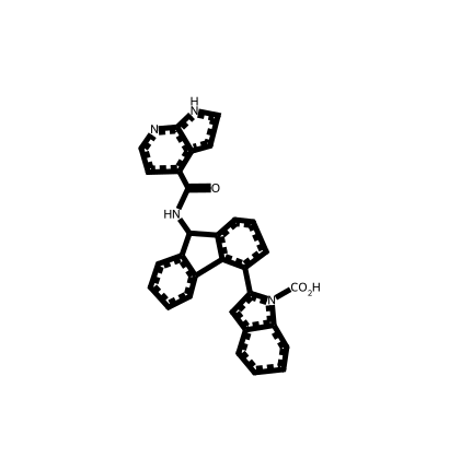 O=C(NC1c2ccccc2-c2c(-c3cc4ccccc4n3C(=O)O)cccc21)c1ccnc2[nH]ccc12